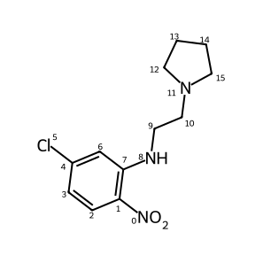 O=[N+]([O-])c1ccc(Cl)cc1NCCN1CCCC1